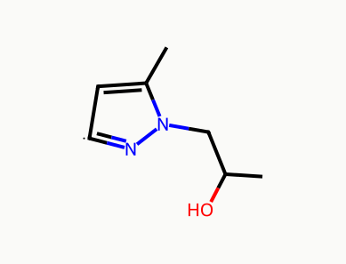 Cc1c[c]nn1CC(C)O